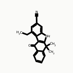 CCc1cc(C#N)cc2[nH]c3c(c12)C(=O)c1ccccc1C3(C)C